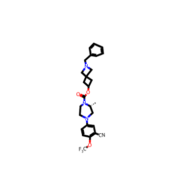 C[C@@H]1CN(c2ccc(OC(F)(F)F)c(C#N)c2)CCN1C(=O)OC1CC2(C1)CN(Cc1ccccc1)C2